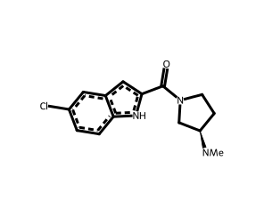 CN[C@@H]1CCN(C(=O)c2cc3cc(Cl)ccc3[nH]2)C1